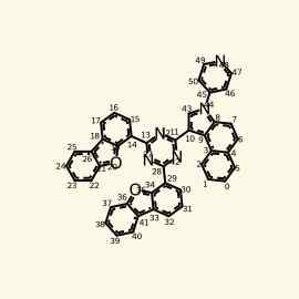 c1ccc2c(c1)ccc1c2c(-c2nc(-c3cccc4c3oc3ccccc34)nc(-c3cccc4c3oc3ccccc34)n2)cn1-c1ccncc1